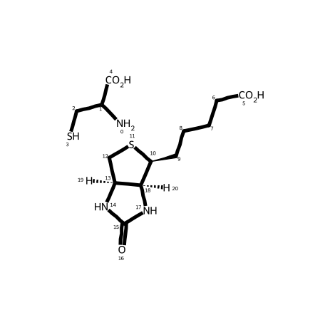 NC(CS)C(=O)O.O=C(O)CCCC[C@@H]1SC[C@@H]2NC(=O)N[C@@H]21